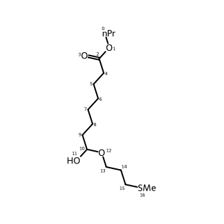 CCCOC(=O)CCCCCCC(O)OCCCSC